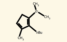 CCCCC1=[C]([Zr]([CH3])[CH3])CC=C1C